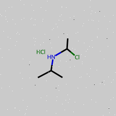 CC(C)NC(C)Cl.Cl